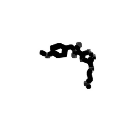 COCCOc1nsc(S(=O)(=O)Cc2ccc(OC)cc2)n1